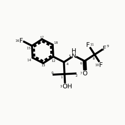 CC(C)(O)C(NC(=O)C(F)(F)F)c1ccc(F)cc1